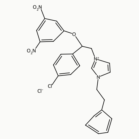 O=[N+]([O-])c1cc(OC(C[n+]2ccn(CCc3ccccc3)c2)c2ccc(Cl)cc2)cc([N+](=O)[O-])c1.[Cl-]